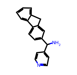 NC(c1ccncc1)c1ccc2c(c1)Cc1ccccc1-2